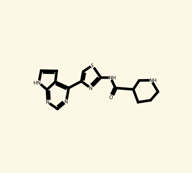 O=C(Nc1nc(-c2ncnc3[nH]ccc23)cs1)C1CCCNC1